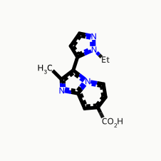 CCn1nccc1-c1c(C)nc2cc(C(=O)O)ccn12